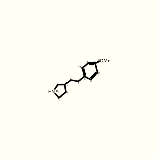 COc1ccc(CCC2CCNC2)cc1